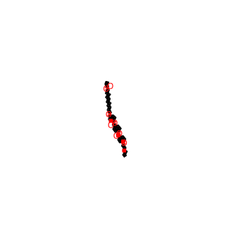 C=CC(=O)OCCCCCCCCCCCOc1ccc(OC(=O)c2ccc(OC(=O)c3ccc(OCCCCCC)cc3)cc2)cc1